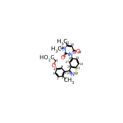 Cc1ccc(OCC(=O)O)cc1-c1nsc2ccc(-n3c(=O)cc(C)n(C)c3=O)cc12